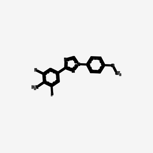 Nc1c(F)cc(-c2ncn(-c3ccc(OC(F)(F)F)cc3)n2)cc1F